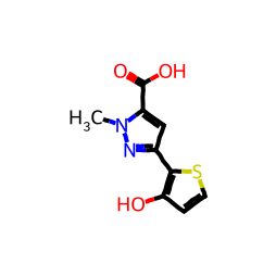 Cn1nc(-c2sccc2O)cc1C(=O)O